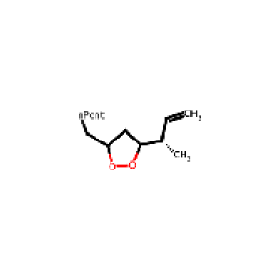 C=C[C@H](C)C1CC(CCCCCC)OO1